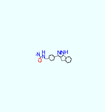 CN(C)C(=O)NCc1ccc(-c2n[nH]c3c2Cc2ccccc2-3)cc1